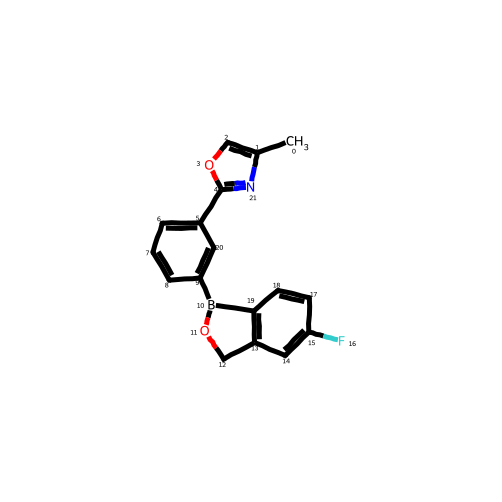 Cc1coc(-c2cccc(B3OCc4cc(F)ccc43)c2)n1